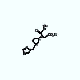 CCOC(=O)CN(C(=O)OC(C)(C)C)[C@@H]1CC[C@H](Cn2cncn2)C1